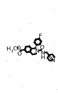 COC(=O)c1ccc2c(c1)CCN(C(=O)NCC13CCN(CC1)CC3)[C@@H]2c1ccc(F)cc1